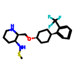 CSN[C@H]1CCCN[C@H]1CO[C@H]1CC[C@@H](c2ccccc2C(F)(F)F)CC1